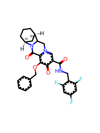 O=C(NCc1c(F)cc(F)cc1F)c1cn2c(c(OCc3ccccc3)c1=O)C(=O)N1C(C2)[C@@H]2CCC[C@H]1C2